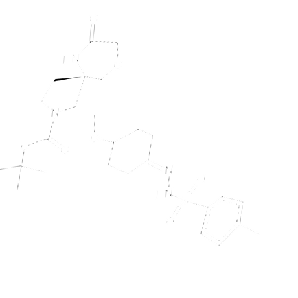 Cc1ccc(S(=O)(=O)NN=C2CCC(OC[C@@H]3N(C(=O)OC(C)(C)C)CC[C@@]34COCC(=O)N4)CC2)cc1